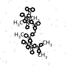 CC1=CCC(N(c2ccc(Cc3ccc4c(c3)C3CC=CC=C3N4c3ccc4c(c3)N(c3ccccc3)c3cc(C)cc5c3B4C3=C(C=C(n4c6ccccc6c6ccccc64)CC3C)N5c3ccccc3)cc2)c2ccc3c(c2)N(c2ccccc2)c2cccc4c2B3c2ccc(N(c3ccc(C)cc3)c3ccc(C)cc3)cc2N4c2ccccc2)C=C1